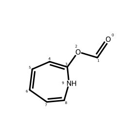 O=COC1=CC=CC=CN1